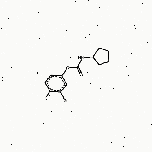 O=C(NC1CCCC1)Oc1ccc(F)c(Br)c1